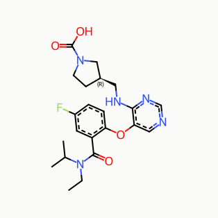 CCN(C(=O)c1cc(F)ccc1Oc1cncnc1NC[C@H]1CCN(C(=O)O)C1)C(C)C